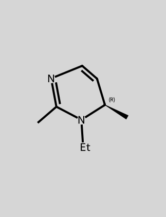 CCN1C(C)=NC=C[C@H]1C